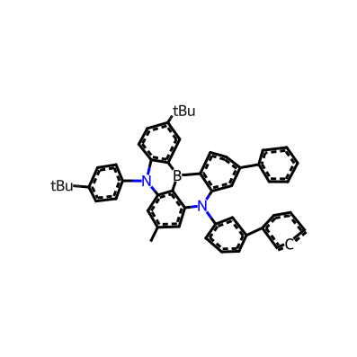 Cc1cc2c3c(c1)N(c1cccc(-c4ccccc4)c1)c1cc(-c4ccccc4)ccc1B3c1cc(C(C)(C)C)ccc1N2c1ccc(C(C)(C)C)cc1